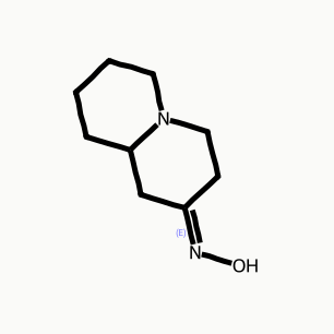 O/N=C1\CCN2CCCCC2C1